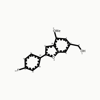 COc1cc(CO)cc2oc(-c3ccc(F)cc3)cc12